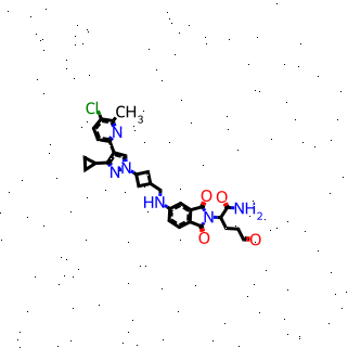 Cc1nc(-c2cn(C3CC(CNc4ccc5c(c4)C(=O)N(C(CCC=O)C(N)=O)C5=O)C3)nc2C2CC2)ccc1Cl